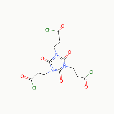 O=C(Cl)CCn1c(=O)n(CCC(=O)Cl)c(=O)n(CCC(=O)Cl)c1=O